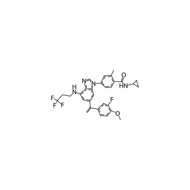 C=C(c1ccc(OC)c(F)c1)c1cc(NCCC(F)(F)F)c2ncn(-c3ccc(C(=O)NC4CC4)c(C)c3)c2c1